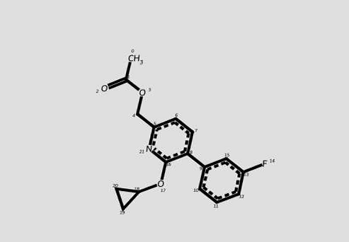 CC(=O)OCc1ccc(-c2cccc(F)c2)c(OC2CC2)n1